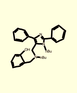 CCCCN(Cc1ccccc1O)Cc1c(-c2ccccc2)nc(-c2ccccc2)n1CCCC